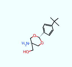 CC(C)(C)c1ccc([C@H]2OC[C@](N)(CO)CO2)cc1